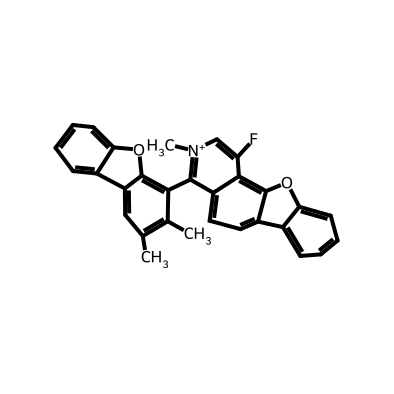 Cc1cc2c(oc3ccccc32)c(-c2c3ccc4c5ccccc5oc4c3c(F)c[n+]2C)c1C